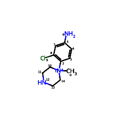 C[N+]1(c2ccc(N)cc2Cl)CCNCC1